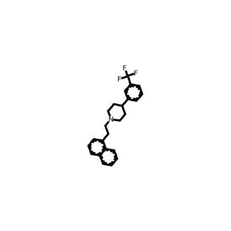 FC(F)(F)c1cccc(C2CCN(CCc3cccc4ccccc34)CC2)c1